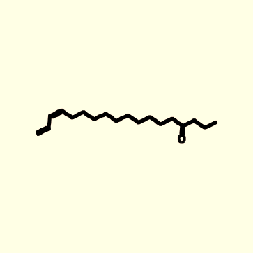 C=C/C=C\CCCCCCCCCCC(=O)CCC